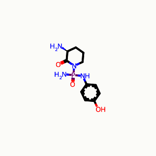 N[C@H]1CCCN(P(N)(=O)Nc2ccc(O)cc2)C1=O